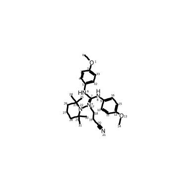 COc1ccc(NC(Nc2ccc(OC)cc2)=[N+](CCC#N)N2C(C)(C)CCCC2(C)C)cc1